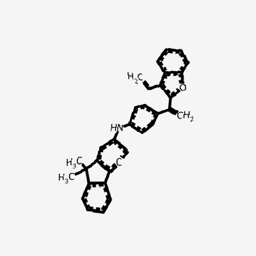 C=Cc1c(C(=C)c2ccc(Nc3ccc4c(c3)C(C)(C)c3ccccc3-4)cc2)oc2ccccc12